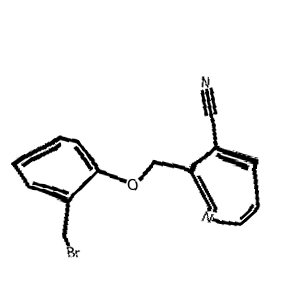 N#Cc1cccnc1COc1ccccc1Br